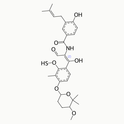 COC1CCC(Oc2ccc(/C(O)=C(\C=O)NC(=O)c3ccc(O)c(CC=C(C)C)c3)c(OS)c2C)OC1(C)C